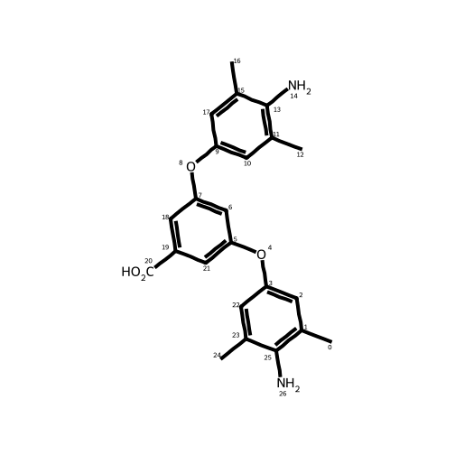 Cc1cc(Oc2cc(Oc3cc(C)c(N)c(C)c3)cc(C(=O)O)c2)cc(C)c1N